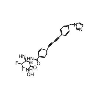 N=C(C(F)F)[C@H](NC(=O)c1ccc(C#CC#Cc2ccc(Cn3ccnc3)cc2)cc1)C(=O)NO